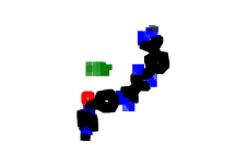 Br.CN1CC2CC1CN2C(=O)C1CCC(n2cc(-c3cnc(-c4cccc(-c5cnn(C)c5)c4)nc3)cn2)CC1